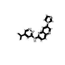 CC(C)c1cnnc(Nc2ccc3ncc(-n4ccnc4)cc3n2)c1